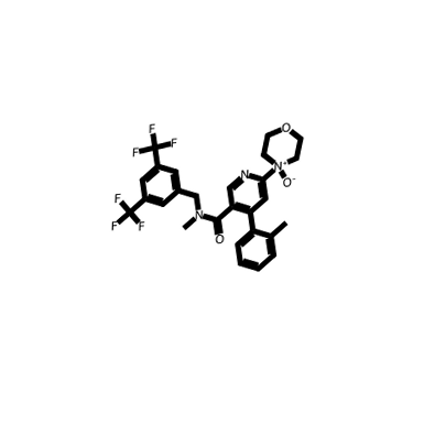 Cc1ccccc1-c1cc([N+]2([O-])CCOCC2)ncc1C(=O)N(C)Cc1cc(C(F)(F)F)cc(C(F)(F)F)c1